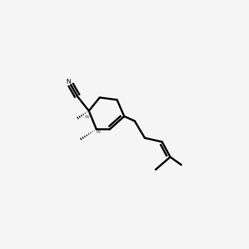 CC(C)=CCCC1=C[C@H](C)[C@@](C)(C#N)CC1